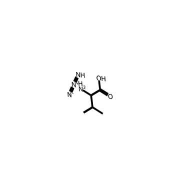 CC(C)C(N)C(=O)O.[N-]=[N+]=N